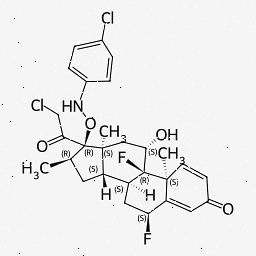 C[C@@H]1C[C@H]2[C@@H]3C[C@H](F)C4=CC(=O)C=C[C@]4(C)[C@@]3(F)[C@@H](O)C[C@]2(C)[C@@]1(ONc1ccc(Cl)cc1)C(=O)CCl